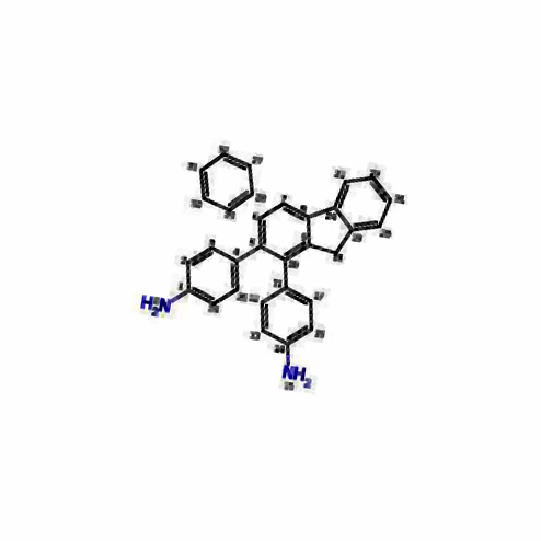 Nc1ccc(-c2ccc3c(c2-c2ccc(N)cc2)Cc2ccccc2-3)cc1.c1ccccc1